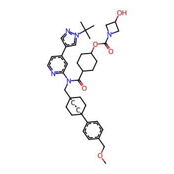 COCc1ccc(C23CCC(CN(C(=O)C4CCC(OC(=O)N5CC(O)C5)CC4)c4cc(-c5cnn(C(C)(C)C)c5)ccn4)(CC2)CC3)cc1